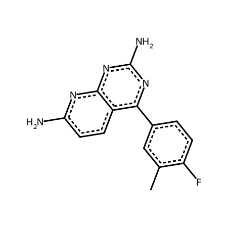 Cc1cc(-c2nc(N)nc3nc(N)ccc23)ccc1F